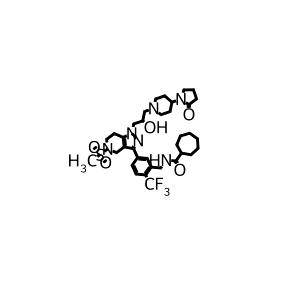 CS(=O)(=O)N1CCc2c(c(-c3ccc(C(F)(F)F)c(CNC(=O)C4CCCCCC4)c3)nn2CC(O)CN2CCC(N3CCCC3=O)CC2)C1